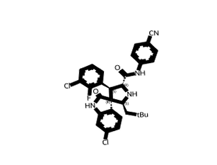 CC(C)(C)C[C@@H]1N[C@@H](C(=O)Nc2ccc(C#N)cc2)[C@H](c2cccc(Cl)c2F)[C@]12C(=O)Nc1cc(Cl)ccc12